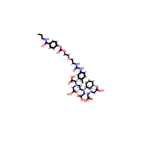 CCCNC(=O)c1ccc(OC(=O)OCCOCCNC(=O)Nc2ccc(C[C@H](CN(CC(=O)O)[C@H]3CCCC[C@@H]3N(CC(=O)O)CC(=O)O)N(CC(=O)O)CC(=O)O)cc2)cc1